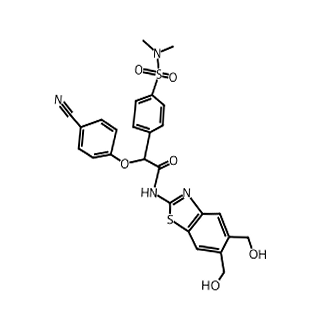 CN(C)S(=O)(=O)c1ccc(C(Oc2ccc(C#N)cc2)C(=O)Nc2nc3cc(CO)c(CO)cc3s2)cc1